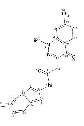 CC(C)n1nc(CC(=O)Nc2cn3cc(Br)ncc3n2)c(=O)c2ccc(C(F)(F)F)cc21